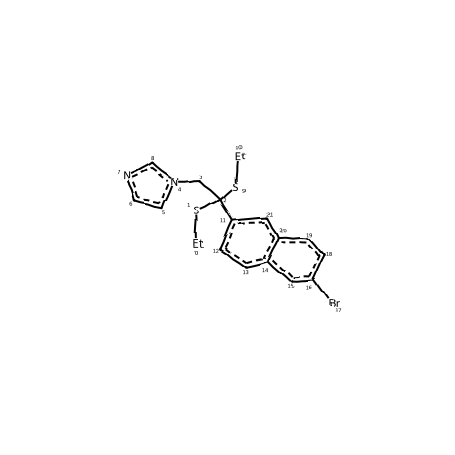 CCSC(Cn1ccnc1)(SCC)c1ccc2cc(Br)ccc2c1